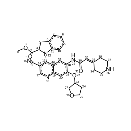 COC(=O)C1Cc2ccccc2N1c1c(C#N)cnc2cc(OC3CCOC3)c(NC(=O)C=C3CCNCC3)cc12